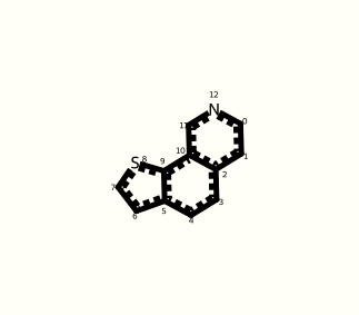 c1cc2ccc3ccsc3c2cn1